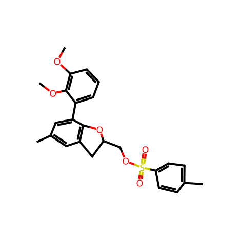 COc1cccc(-c2cc(C)cc3c2OC(COS(=O)(=O)c2ccc(C)cc2)C3)c1OC